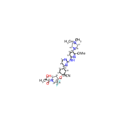 COc1nc(Nc2nccc(-c3ccc(OC4CCN(C(=O)C(C)O)CC4(F)F)c(C#N)c3)n2)ccc1N1CCN(C)[C@@H](C)C1